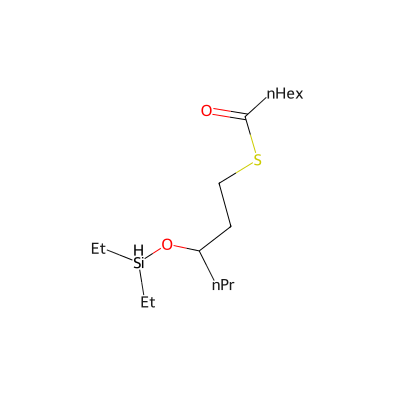 CCCCCCC(=O)SCCC(CCC)O[SiH](CC)CC